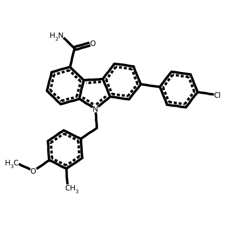 COc1ccc(Cn2c3cc(-c4ccc(Cl)cc4)c[c]c3c3c(C(N)=O)cccc32)cc1C